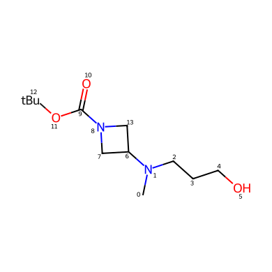 CN(CCCO)C1CN(C(=O)OC(C)(C)C)C1